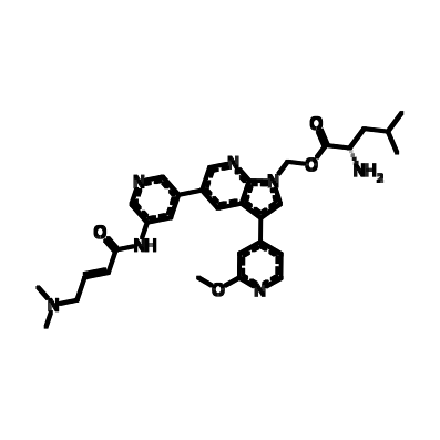 COc1cc(-c2cn(COC(=O)[C@@H](N)CC(C)C)c3ncc(-c4cncc(NC(=O)/C=C/CN(C)C)c4)cc23)ccn1